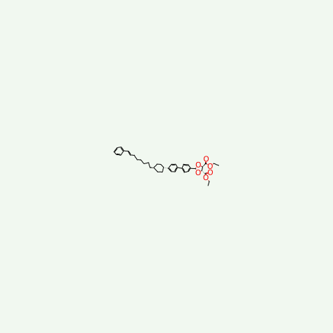 CCOC(=O)[C@@H]1OC(c2ccc(-c3ccc([C@H]4CC[C@H](CCCCCCC=Cc5ccccc5)CC4)cc3)cc2)O[C@H]1C(=O)OCC